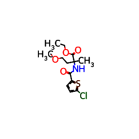 CCOC(=O)C(C)(CCOC)NC(=O)c1ccc(Cl)s1